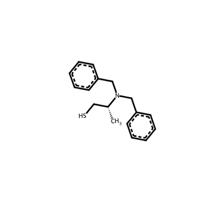 C[C@H](CS)N(Cc1ccccc1)Cc1ccccc1